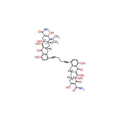 CN(C)[C@@H]1C(O)=C(C(N)=O)C[C@@]2(O)C(O)=C3C(=O)c4c(O)ccc(C#CCCC#Cc5ccc(O)c6c5C[C@H]5C[C@H]7CC(O)=C(C(N)=O)C(=O)[C@@]7(O)C(O)=C5C6=O)c4C[C@H]3C[C@@H]12